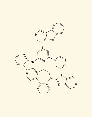 c1ccc(-c2nc(-c3cccc4c3oc3ccccc34)nc(-n3c4ccccc4c4ccc5c(c43)CCC(c3nc4ccccc4s3)c3ccccc3-5)n2)cc1